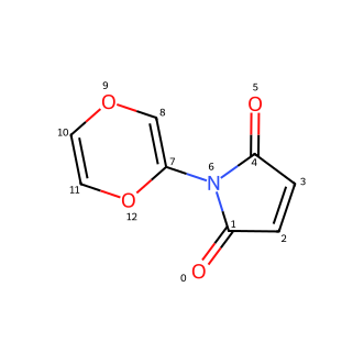 O=C1C=CC(=O)N1C1=COC=CO1